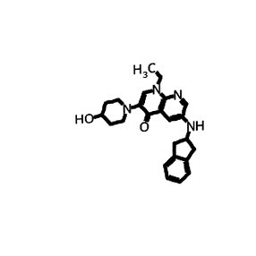 CCn1cc(N2CCC(O)CC2)c(=O)c2cc(NC3Cc4ccccc4C3)cnc21